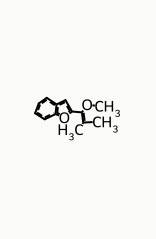 COC(=C(C)C)c1cc2ccccc2o1